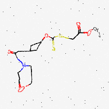 COC(=O)CSC(=S)O[C@H]1C[C@@H](C(=O)N2CCOCC2)C1